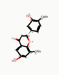 COc1ccc([C@H]2CC(=O)c3cc(O)cc(OC)c3O2)cc1O